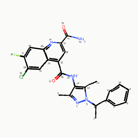 Cc1nn(C(C)c2ccccc2)c(C)c1NC(=O)c1cc(C(N)=O)nc2cc(F)c(Cl)cc12